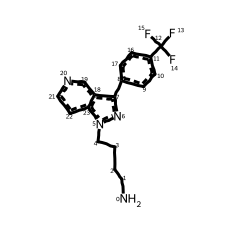 NCCCCn1nc(-c2ccc(C(F)(F)F)cc2)c2cnccc21